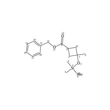 CC1(O[Si](C)(C)C(C)(C)C)CC(C(=O)OCc2ccccc2)C1